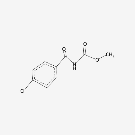 COC(=O)NC(=O)c1ccc(Cl)cc1